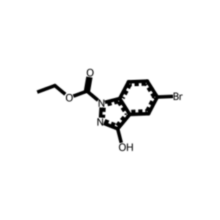 CCOC(=O)n1nc(O)c2cc(Br)ccc21